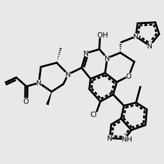 C=CC(=O)N1C[C@H](C)N(C2=NC(O)N3c4c2cc(Cl)c(-c2c(C)ccc5[nH]ncc25)c4OC[C@H]3Cn2cccn2)C[C@H]1C